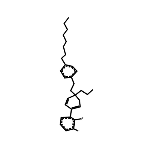 CCCCCCCCc1ccc(CCC2(CCC)C=CC(c3cccc(F)c3F)=CC2)cc1